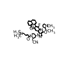 C[C@H](Oc1nc2c(F)c(-c3cccc4cccc(Cl)c34)c(Cl)cc2c2c1cnn2[C@H]1CCN(C(=O)/C=C/CN(C)C)[C@H](CC#N)C1)C1CCCN1C